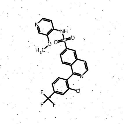 COc1cnccc1NS(=O)(=O)c1ccc2c(-c3ccc(C(F)(F)F)cc3Cl)nccc2c1